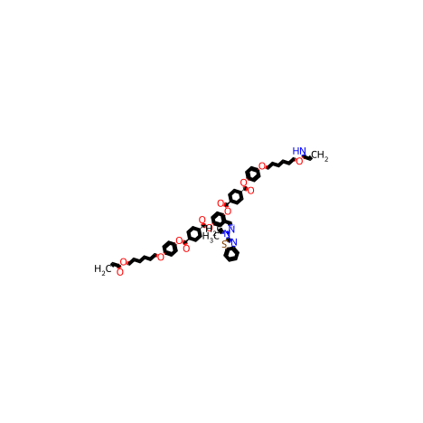 C=CC(=N)OCCCCCCOc1ccc(OC(=O)[C@H]2CC[C@H](C(=O)Oc3ccc(OC(=O)[C@H]4CC[C@H](C(=O)Oc5ccc(OCCCCCCOC(=O)C=C)cc5)CC4)cc3/C=N\N(C(=C)C)c3nc4ccccc4s3)CC2)cc1